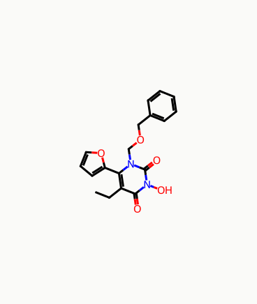 CCc1c(-c2ccco2)n(COCc2ccccc2)c(=O)n(O)c1=O